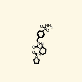 NS(=O)(=O)c1ccc(Cn2nc3n(c2=O)[C@@H](C(=O)N2CCCC2)CCC3)cc1